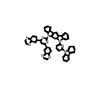 c1cc(-n2c3ccccc3c3ccccc32)nc(-n2c3ccccc3c3cc4c5ccccc5n(-c5nc(-c6ccc7nccnc7c6)cc(-c6ccc7nccnc7c6)n5)c4cc32)c1